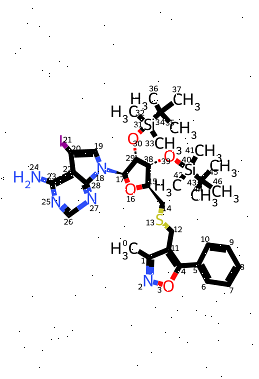 Cc1noc(-c2ccccc2)c1CSC[C@H]1O[C@@H](n2cc(I)c3c(N)ncnc32)[C@H](O[Si](C)(C)C(C)(C)C)[C@@H]1O[Si](C)(C)C(C)(C)C